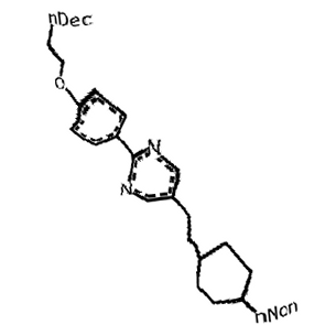 CCCCCCCCCCCCOc1ccc(-c2ncc(CCC3CCC(CCCCCCCCC)CC3)cn2)cc1